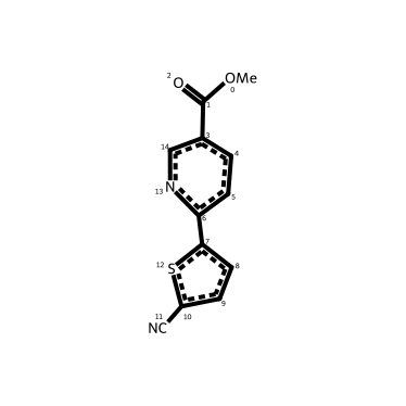 COC(=O)c1ccc(-c2ccc(C#N)s2)nc1